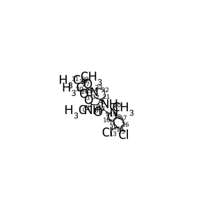 CNC(=O)CC1(NC(=O)c2cc3c(Cl)c(Cl)ccc3n2C)CCCN(C(=O)OC(C)(C)C)C1